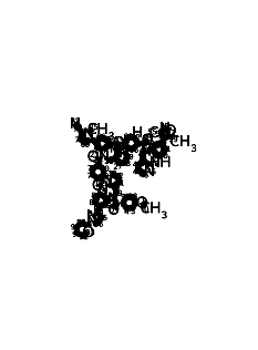 CO[C@H]1CC[C@H](C(=O)N2Cc3cccnc3N(O[C@H]3CC[C@H](C(=O)N4Cc5cccnc5N(O[C@H]5CC[C@H](C(=O)N6Cc7cccnc7Nc7ccc(-c8c(C)noc8C)cc76)CC5)c5ccc(-c6ccc(C#N)n6C)cc54)CC3)c3ccc(-c4ccn(C5CCCCO5)n4)cc32)CC1